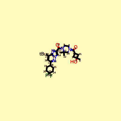 CC1(O)CC(C(=O)N2CCN(C(=O)c3cn4nc(C5CCC(F)(F)CC5)cc(C(C)(C)C)c4n3)C(C)(C)C2)C1